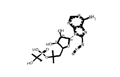 CC(C)(CC1O[C@@H](n2c(N=[N+]=[N-])nc3c(N)ncnc32)[C@H](O)[C@@H]1O)OP(=O)(O)C(C)(C)O